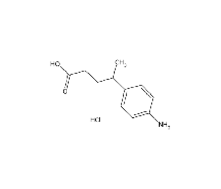 CC(CCC(=O)O)c1ccc(N)cc1.Cl